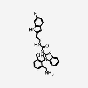 NCc1cccc(Cl)c1N1c2ccccc2SC1NC(=O)NCCc1cc2ccc(F)cc2[nH]1